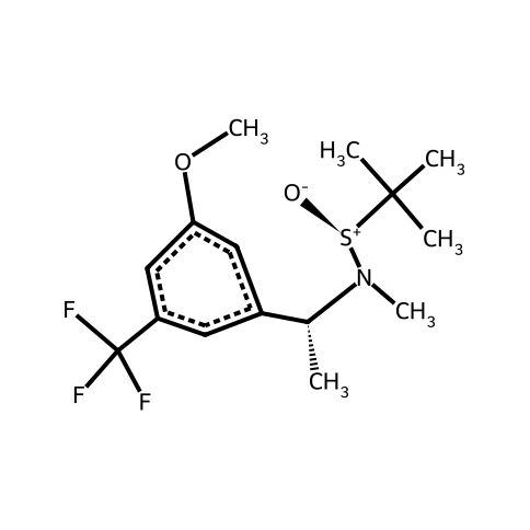 COc1cc([C@@H](C)N(C)[S@@+]([O-])C(C)(C)C)cc(C(F)(F)F)c1